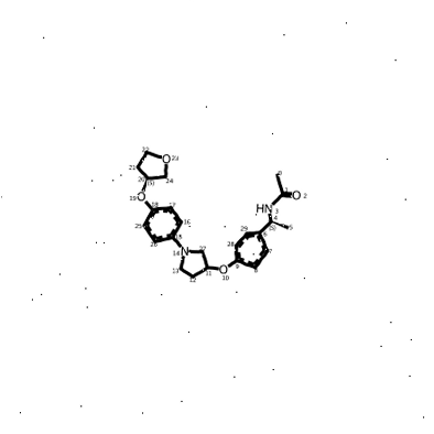 CC(=O)N[C@@H](C)c1ccc(OC2CCN(c3ccc(O[C@H]4CCOC4)cc3)C2)cc1